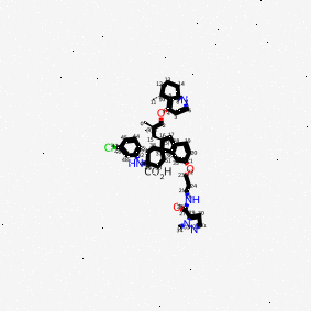 C[C@@H](COc1ccnc2c1[C@H](C)CCC2)C[C@H]1Cc2ccc(OCCCNC(=O)c3ccnn3C)cc2C12CCC(Nc1cccc(Cl)c1)(C(=O)O)CC2